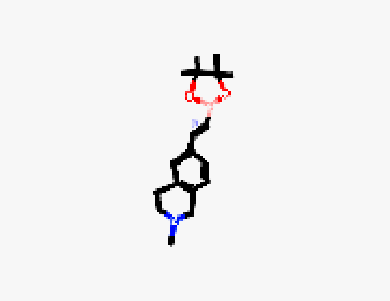 CN1CCc2cc(/C=C/B3OC(C)(C)C(C)(C)O3)ccc2C1